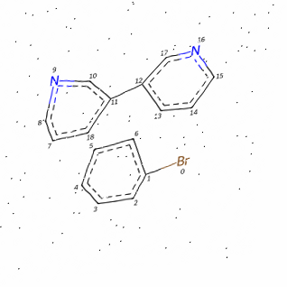 Brc1ccccc1.c1cncc(-c2cccnc2)c1